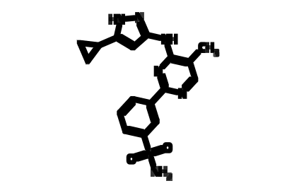 Cc1cnc(-c2cccc(S(N)(=O)=O)c2)nc1Nc1cc(C2CC2)[nH]n1